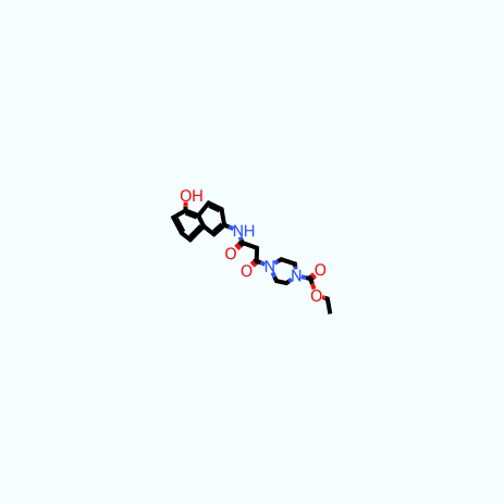 CCOC(=O)N1CCN(C(=O)CC(=O)Nc2ccc3c(O)cccc3c2)CC1